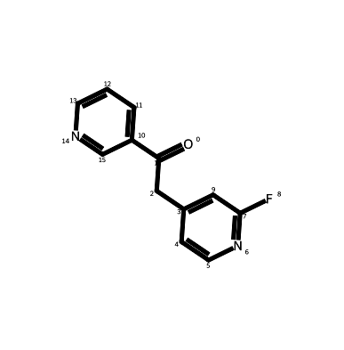 O=C(Cc1ccnc(F)c1)c1cccnc1